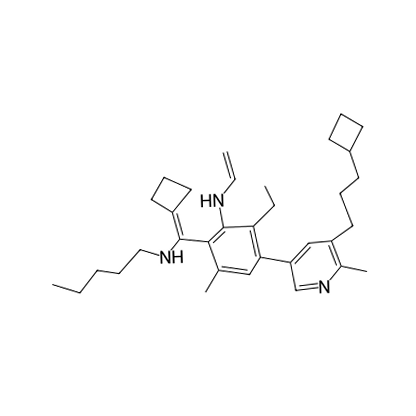 C=CNc1c(CC)c(-c2cnc(C)c(CCCC3CCC3)c2)cc(C)c1C(NCCCCC)=C1CCC1